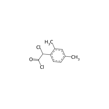 Cc1ccc(C(Cl)C(=O)Cl)c(C)c1